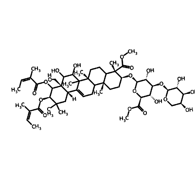 C/C=C(/C)C(=O)OC1[C@H](OC(=O)/C(C)=C\C)C(C)(C)C[C@H]2C3=CCC4[C@@]5(C)CC[C@H](O[C@@H]6O[C@H](C(=O)OC)[C@@H](O)[C@H](O[C@@H]7OC[C@H](O)[C@H](O)[C@H]7O)[C@H]6O)[C@@](C)(C(=O)OC)C5CC[C@@]4(C)C3(C)C(O)C(O)[C@@]12CO